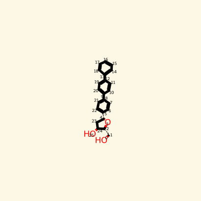 OC[C@H]1O[C@@H](c2ccc(-c3ccc(-c4ccccc4)cc3)cc2)CC1O